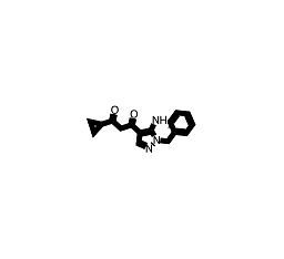 Nc1c(C(=O)CC(=O)C2CC2)cnn1Cc1ccccc1